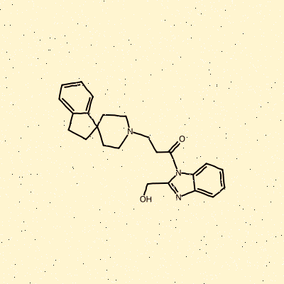 O=C(CCN1CCC2(CCc3ccccc32)CC1)n1c(CO)nc2ccccc21